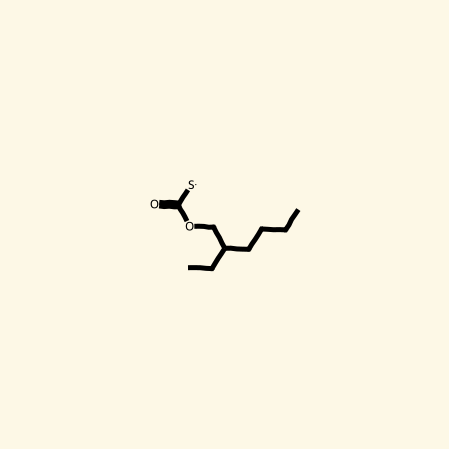 CCCCC(CC)COC(=O)[S]